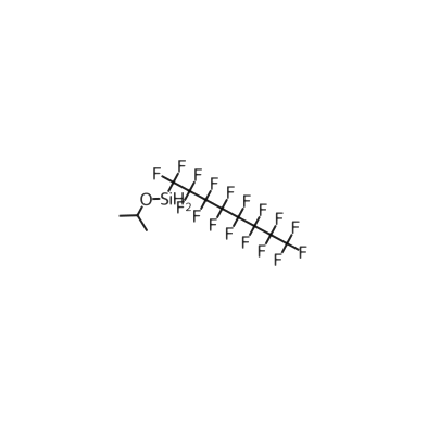 CC(C)O[SiH2]C(F)(F)C(F)(F)C(F)(F)C(F)(F)C(F)(F)C(F)(F)C(F)(F)C(F)(F)F